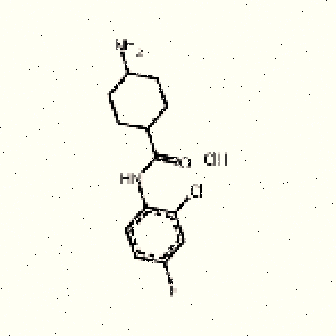 Cl.NC1CCC(C(=O)Nc2ccc(F)cc2Cl)CC1